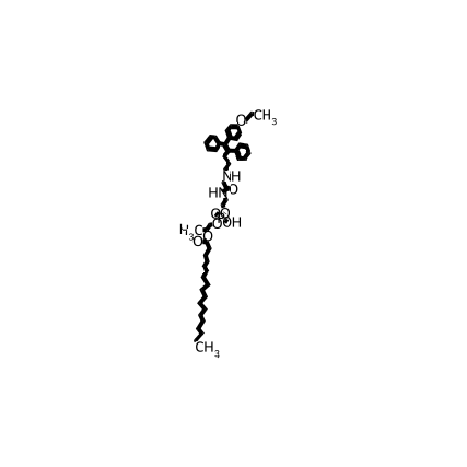 CCCCCCCCCCCCCCCCCC(=O)OC(C)COP(=O)(O)OCCNC(=O)CNCCC/C(=C(\c1ccccc1)c1ccc(OCCC)cc1)c1ccccc1